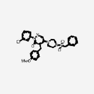 COc1ccc(Cc2c(N3CCN(S(=O)(=O)Cc4ccccc4)CC3)cnn(-c3cccc(Cl)c3)c2=O)cc1